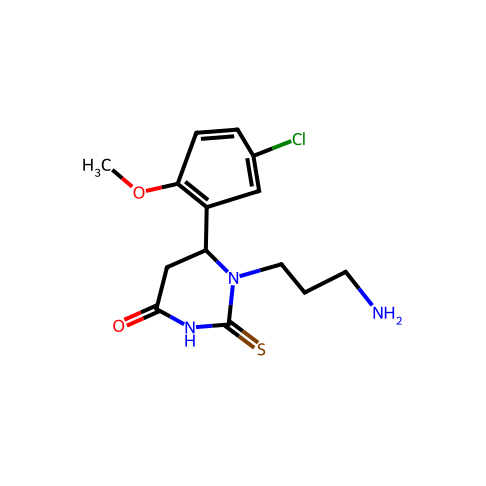 COc1ccc(Cl)cc1C1CC(=O)NC(=S)N1CCCN